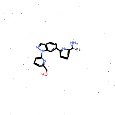 CC[C@H](N)c1cccc(-c2ccc3cnn(-c4cccc(CO)n4)c3c2)n1